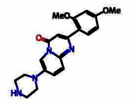 COc1ccc(-c2cc(=O)n3cc(N4CCNCC4)ccc3n2)c(OC)c1